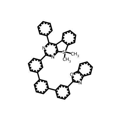 C[Si]1(C)c2ccccc2-c2c(-c3ccccc3)nc(-c3cccc(-c4cccc(-c5cccc(-c6nc7ccccc7o6)c5)c4)c3)nc21